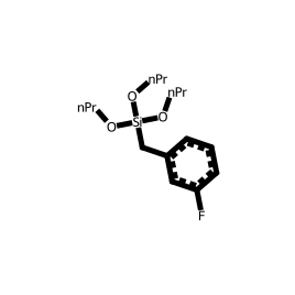 CCCO[Si](Cc1cccc(F)c1)(OCCC)OCCC